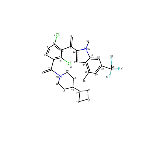 C=C(c1c(Cl)ccc(C(=C)N2CCC(C3CCC3)CC2)c1Cl)c1cc2c(C)cc(C(F)(F)F)cc2n1C